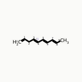 C=CC/C=[C]/C=CC=CC